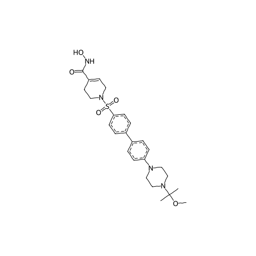 COC(C)(C)N1CCN(c2ccc(-c3ccc(S(=O)(=O)N4CC=C(C(=O)NO)CC4)cc3)cc2)CC1